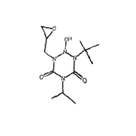 CC(C)N1C(=O)N(CC2CO2)N(O)N(C(C)(C)C)C1=O